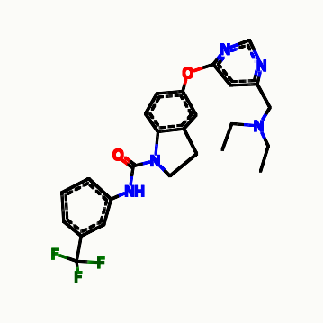 CCN(CC)Cc1cc(Oc2ccc3c(c2)CCN3C(=O)Nc2cccc(C(F)(F)F)c2)ncn1